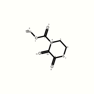 CC(C)(C)OC(=O)N1CCSC(=O)C1=O